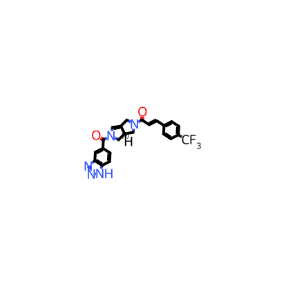 O=C(c1ccc2[nH]nnc2c1)N1C=C2CN(C(=O)C=Cc3ccc(C(F)(F)F)cc3)C[C@@H]2C1